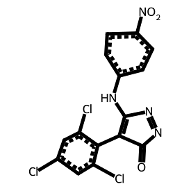 O=C1N=NC(Nc2ccc([N+](=O)[O-])cc2)=C1c1c(Cl)cc(Cl)cc1Cl